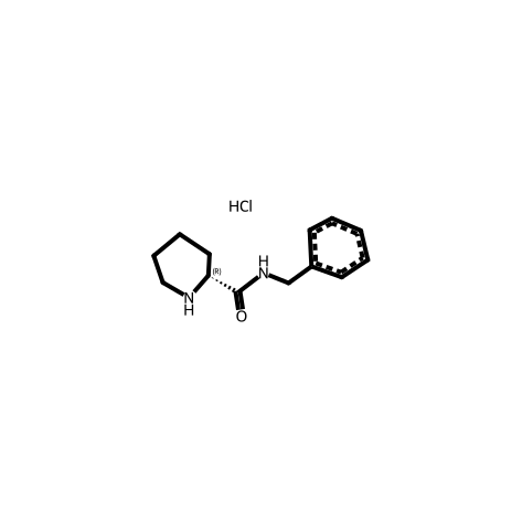 Cl.O=C(NCc1ccccc1)[C@H]1CCCCN1